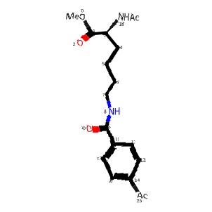 COC(=O)[C@H](CCCCNC(=O)c1ccc(C(C)=O)cc1)NC(C)=O